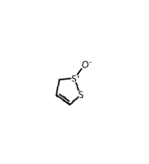 [O-][S+]1CC=CS1